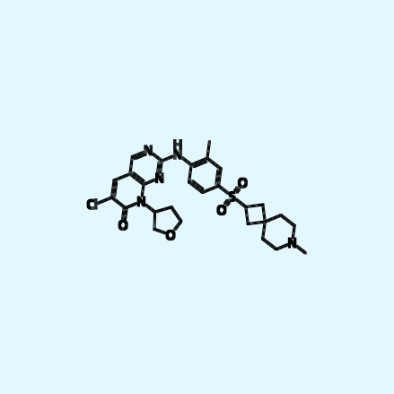 Cc1cc(S(=O)(=O)C2CC3(CCN(C)CC3)C2)ccc1Nc1ncc2cc(Cl)c(=O)n(C3CCOC3)c2n1